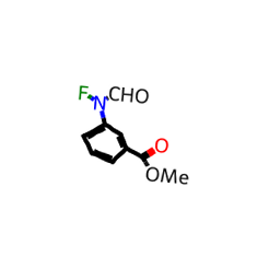 COC(=O)c1cccc(N(F)C=O)c1